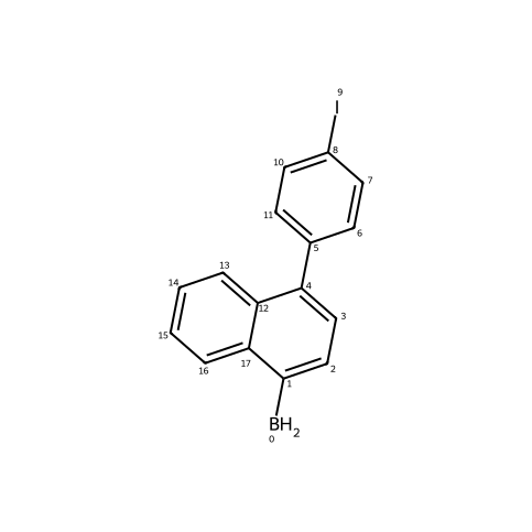 Bc1ccc(-c2ccc(I)cc2)c2ccccc12